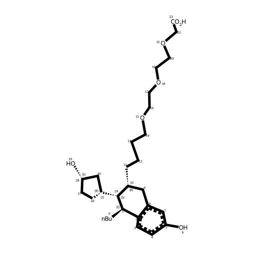 CCCC[C@@H]1c2ccc(O)cc2C[C@@H](CCCCOCCOCCOCC(=O)O)[C@H]1[C@@H]1CC[C@H](O)C1